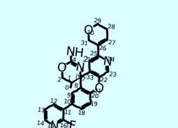 CC1COC(N)=N[C@]12c1cc(-c3cccnc3F)ccc1Oc1cnc(C3=CCCOC3)cc12